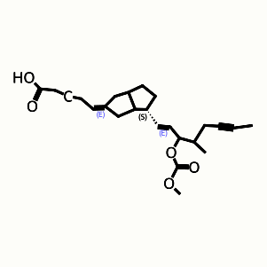 CC#CCC(C)C(/C=C/[C@H]1CCC2C/C(=C\CCCC(=O)O)CC21)OC(=O)OC